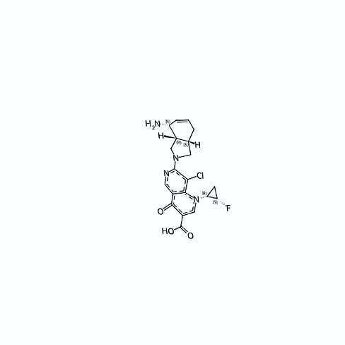 N[C@@H]1C=CC[C@@H]2CN(c3ncc4c(=O)c(C(=O)O)cn([C@@H]5C[C@@H]5F)c4c3Cl)C[C@@H]21